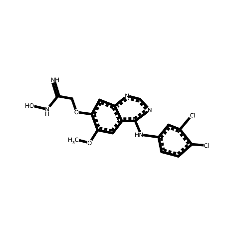 COc1cc2c(Nc3ccc(Cl)c(Cl)c3)ncnc2cc1OCC(=N)NO